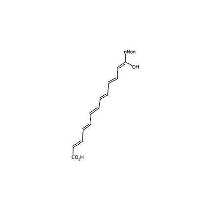 CCCCCCCCCC(O)=CC=CC=CC=CC=CC=CC(=O)O